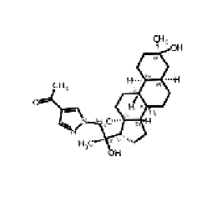 CC(=O)c1cnn(C[C@@](C)(O)[C@H]2CC[C@H]3[C@@H]4CC[C@@H]5C[C@](C)(O)CC[C@@H]5[C@H]4CC[C@@]32C)c1